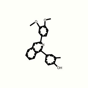 COc1ccc(-c2cc3ccccc3c(-c3ccc(O)c(C)c3)n2)cc1OC